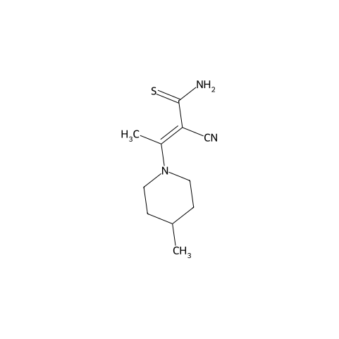 C/C(=C(/C#N)C(N)=S)N1CCC(C)CC1